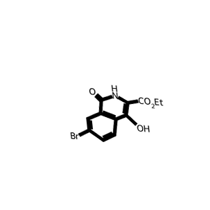 CCOC(=O)c1[nH]c(=O)c2cc(Br)ccc2c1O